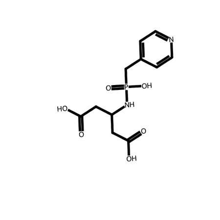 O=C(O)CC(CC(=O)O)NP(=O)(O)Cc1ccncc1